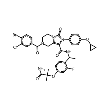 CC(NC(=O)c1c2n(c(=O)n1-c1ccc(OC3CC3)cc1)CCN(C(=O)c1ccc(Br)c(Cl)c1)C2)c1ccc(OC(C)(C)C(N)=O)cc1F